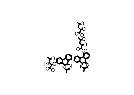 CC(=O)CC(=O)C(=O)[O-].CC(=O)CC(=O)C(=O)[O-].CC(=O)CC(=O)C(=O)[O-].Cc1cnc2c3ccccc3c3ccccc3c2n1.Cc1cnc2c3ccccc3c3ccccc3c2n1.[Ir+3]